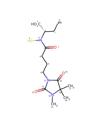 CC(C)C[C@@H](C(=O)O)N(S)C(=O)CCCN1C(=O)N(C)C(C)(C)C1=O